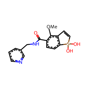 COc1c(C(=O)NCc2cccnc2)ccc2c1C=CS2(O)O